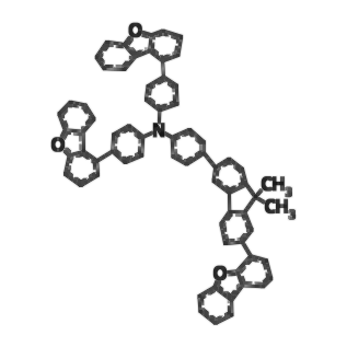 CC1(C)c2ccc(-c3ccc(N(c4ccc(-c5cccc6oc7ccccc7c56)cc4)c4ccc(-c5cccc6oc7ccccc7c56)cc4)cc3)cc2-c2ccc(-c3cccc4c3oc3ccccc34)cc21